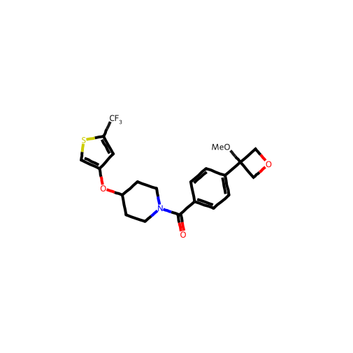 COC1(c2ccc(C(=O)N3CCC(Oc4csc(C(F)(F)F)c4)CC3)cc2)COC1